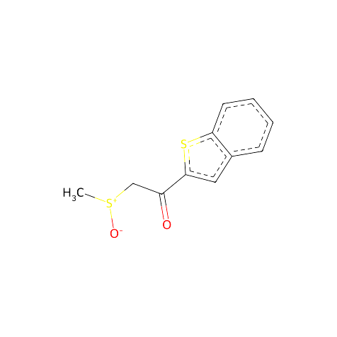 C[S+]([O-])CC(=O)c1cc2ccccc2s1